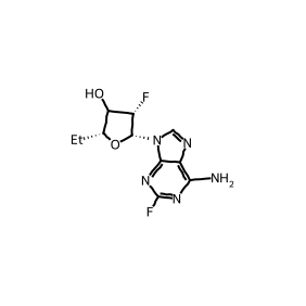 CC[C@H]1O[C@@H](n2cnc3c(N)nc(F)nc32)[C@@H](F)C1O